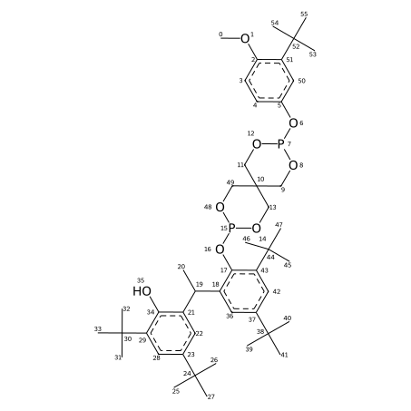 COc1ccc(OP2OCC3(CO2)COP(Oc2c(C(C)c4cc(C(C)(C)C)cc(C(C)(C)C)c4O)cc(C(C)(C)C)cc2C(C)(C)C)OC3)cc1C(C)(C)C